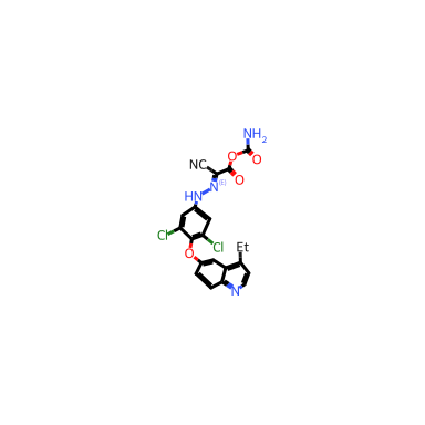 CCc1ccnc2ccc(Oc3c(Cl)cc(N/N=C(\C#N)C(=O)OC(N)=O)cc3Cl)cc12